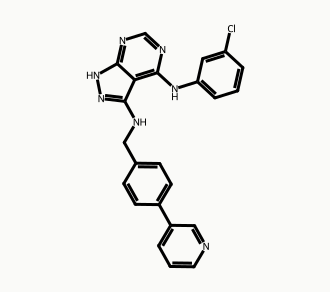 Clc1cccc(Nc2ncnc3[nH]nc(NCc4ccc(-c5cccnc5)cc4)c23)c1